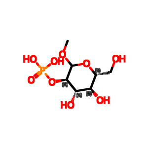 COC1O[C@H](CO)[C@@H](O)[C@H](O)[C@H]1OP(=O)(O)O